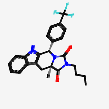 CCCCN1C(=O)[C@H]2Cc3c([nH]c4ccccc34)[C@H](c3ccc(C(F)(F)F)cc3)N2C1=O